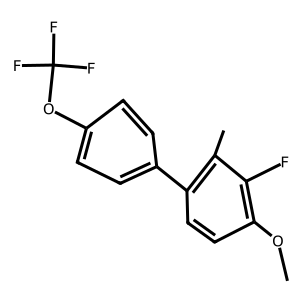 COc1ccc(-c2ccc(OC(F)(F)F)cc2)c(C)c1F